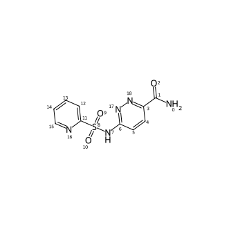 NC(=O)c1ccc(NS(=O)(=O)c2ccccn2)nn1